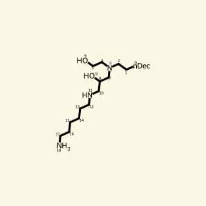 CCCCCCCCCCCCN(CCO)CC(O)CNCCCCCCN